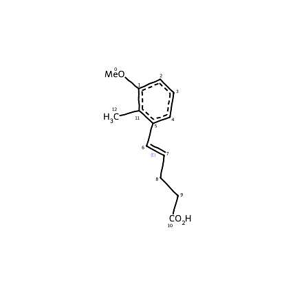 COc1cccc(/C=C/CCC(=O)O)c1C